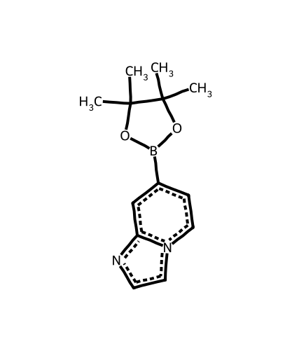 CC1(C)OB(c2ccn3ccnc3c2)OC1(C)C